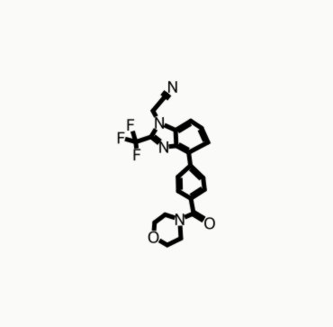 N#CCn1c(C(F)(F)F)nc2c(-c3ccc(C(=O)N4CCOCC4)cc3)cccc21